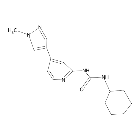 Cn1cc(-c2ccnc(NC(=O)NC3CCCCC3)c2)cn1